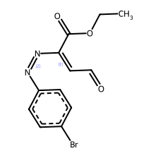 CCOC(=O)C(=C\C=O)/N=N\c1ccc(Br)cc1